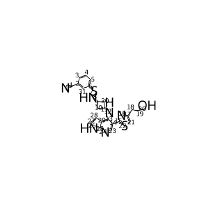 N#Cc1cccc(SN[C@H]2C[C@@H](Nc3c(-c4nc(CCO)cs4)cnc4[nH]ccc34)C2)c1